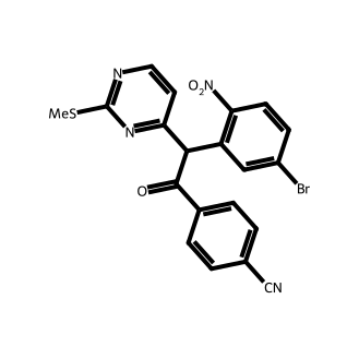 CSc1nccc(C(C(=O)c2ccc(C#N)cc2)c2cc(Br)ccc2[N+](=O)[O-])n1